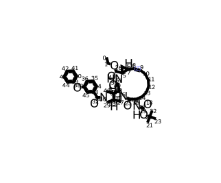 CCOC(=O)C12C[C@H]1/C=C\CCCCC[C@H](NC(=O)OC(C)(C)C)C(=O)N1C[C@@H]3CN(C(=O)c4cccc(Oc5ccccc5)c4)C[C@@H]3[C@H]1C(=O)N2